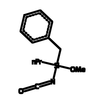 CCC[Si](Cc1ccccc1)(N=C=O)OC